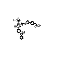 CC(C)(CCn1cnc(-c2ccc(CC(=O)O)cc2)c1)NCC(O)c1cccc(NS(=O)(=O)c2ccccc2)c1.O=C(O)C(F)(F)F